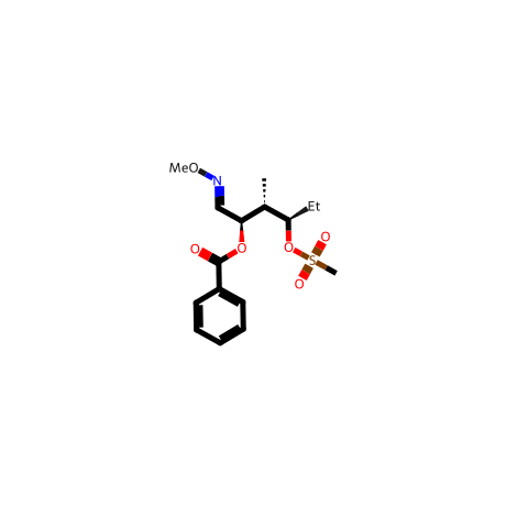 CC[C@@H](OS(C)(=O)=O)[C@@H](C)[C@H](C=NOC)OC(=O)c1ccccc1